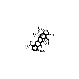 COc1ccc(N(C)C)c2c1C(=O)C1=C(O)[C@]3(O)C(=O)C(C(N)=O)=C(O)[C@@H](N(C)C)[C@@H]3CC1C2